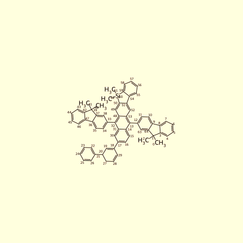 CC1(C)c2ccccc2-c2ccc(-c3c4ccc(C5=CC(c6ccccc6)CC=C5)cc4c(-c4ccc5c(c4)C(C)(C)c4ccccc4-5)c4cc5c(cc34)-c3ccccc3[Si]5(C)C)cc21